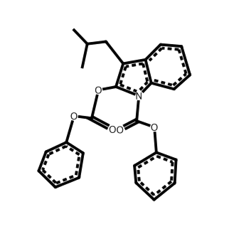 CC(C)Cc1c(OC(=O)Oc2ccccc2)n(C(=O)Oc2ccccc2)c2ccccc12